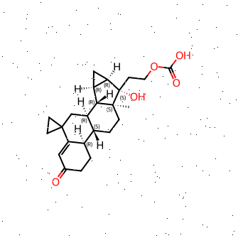 C[C@]12CC[C@H]3[C@@H](CC4(CC4)C4=CC(=O)CC[C@@H]43)[C@@H]1[C@H]1C[C@H]1[C@@]2(O)CCOC(=O)O